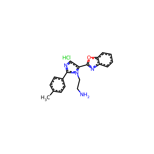 Cc1ccc(-c2ncc(-c3nc4ccccc4o3)n2CCN)cc1.Cl